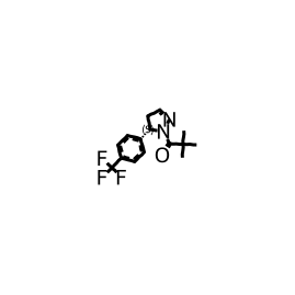 CC(C)(C)C(=O)N1N=CC[C@H]1c1ccc(C(F)(F)F)cc1